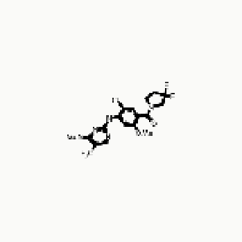 CNc1nc(Nc2cc(OC)c(C(=O)N3CCC(F)(F)C3)cc2Cl)ncc1C(F)(F)F